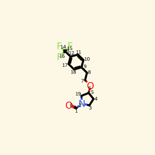 O=CN1CCC(OCCc2ccc(C(F)(F)F)cc2)C1